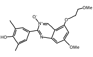 COCCOc1cc(OC)cc2nc(-c3cc(C)c(O)c(C)c3)[n+]([O-])cc12